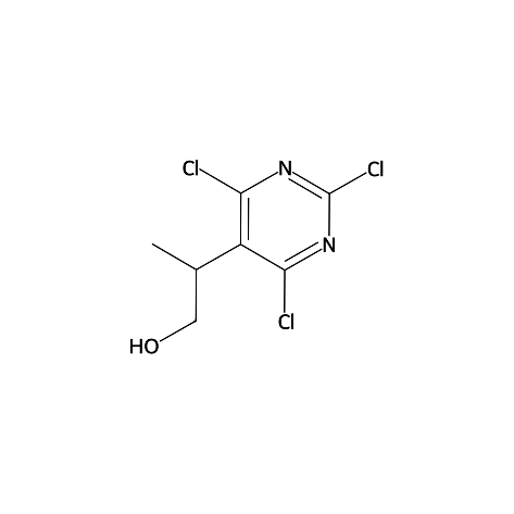 CC(CO)c1c(Cl)nc(Cl)nc1Cl